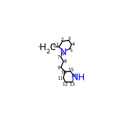 [CH2]C1CCCCN1CCCC1CCCNC1